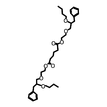 CCCCOC(COCCOC(=O)CCCCC(=O)OCCOCC(Cc1ccccc1)OCCCC)Cc1ccccc1